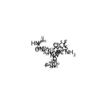 N#Cc1c(N)sc2c(F)ccc(-c3c(Cl)cc4c(N5CCC6(CC5)CN(C(=O)[C@@H]5N[C@H]5C5CC5)C6)nc(OC[C@@]56CCCN5C[C@H](F)C6)nc4c3F)c12